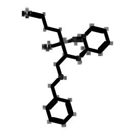 C=CCC[C@@](C)(OC)C(COCc1ccccc1)O[C@@H]1C=CC=CO1